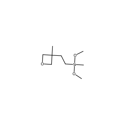 CO[Si](C)(CCC1(C)COC1)OC